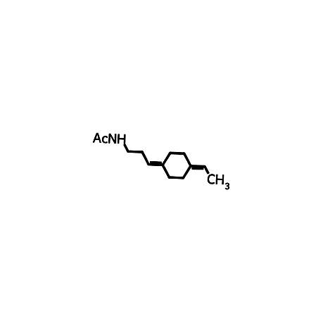 CC=C1CCC(=CCCNC(C)=O)CC1